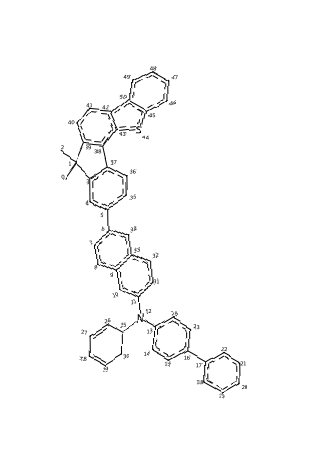 CC1(C)c2cc(-c3ccc4cc(N(c5ccc(-c6ccccc6)cc5)C5C=CC=CC5)ccc4c3)ccc2-c2c1ccc1c2sc2ccccc21